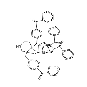 O=C(c1ccccc1)c1ccc(CC2(Cc3ccc(C(=O)c4ccccc4)cc3)CNCC[N+]2(Cc2ccc(C(=O)c3ccccc3)cc2)Cc2ccc(C(=O)c3ccccc3)cc2)cc1